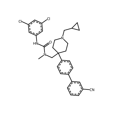 CN(CC1(c2ccc(-c3cccc(C#N)c3)cc2)CCN(CC2CC2)CC1)C(=O)Nc1cc(Cl)cc(Cl)c1